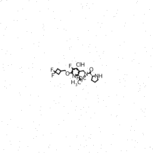 COc1nc(OCC2CC(F)(F)C2)c(F)cc1CN(C)C(=O)[C@@H]1CCCN1.Cl